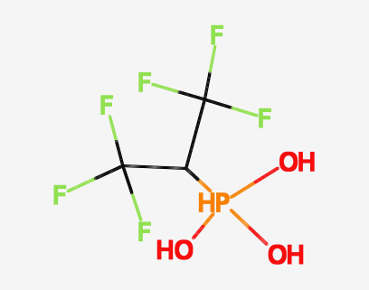 O[PH](O)(O)C(C(F)(F)F)C(F)(F)F